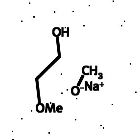 COCCO.C[O-].[Na+]